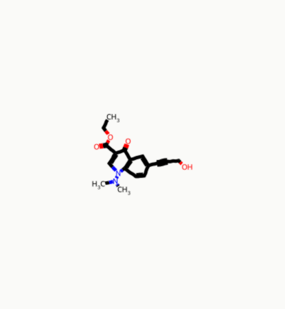 CCOC(=O)c1cn(N(C)C)c2ccc(C#CCO)cc2c1=O